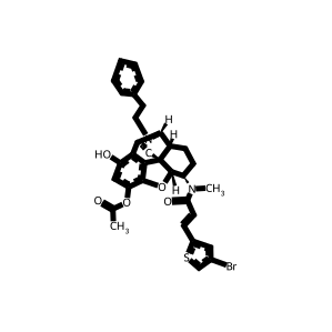 CC(=O)Oc1cc(O)c2c3c1O[C@H]1[C@@H](N(C)C(=O)/C=C/c4cc(Br)cs4)CC[C@H]4[C@@H](C2)N(CCc2ccccc2)CC[C@@]341